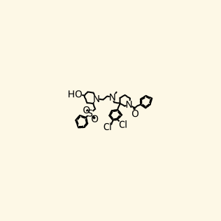 CN(CCN1CCC(O)CC1CS(=O)(=O)c1ccccc1)CC1(c2ccc(Cl)c(Cl)c2)CCCN(C(=O)c2ccccc2)C1